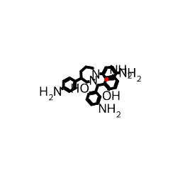 Nc1ccc(C2CCCN(c3ccc(N)cc3)N(C(c3cc(N)ccc3O)c3cc(N)ccc3O)C2)cc1